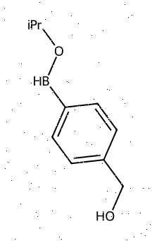 CC(C)OBc1ccc(CO)cc1